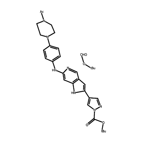 CC(=O)N1CCN(c2ccc(Nc3cc4[nH]c(-c5cnn(C(=O)OC(C)(C)C)c5)cc4cn3)cc2)CC1.CC(C)(C)OC=O